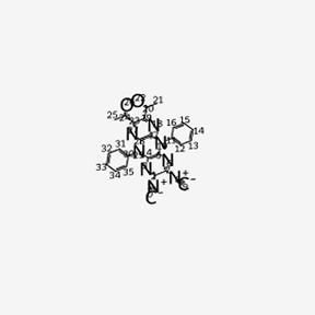 [C-]#[N+]c1nc2c(nc1[N+]#[C-])N(c1ccccc1)c1nc(C(C)=O)c(C(C)=O)nc1N2c1ccccc1